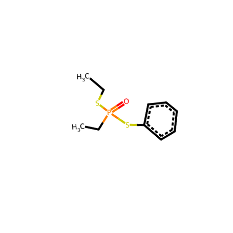 CCSP(=O)(CC)Sc1ccccc1